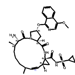 COc1cnc(O[C@@H]2C[C@H]3C(=O)N[C@]4(C(=O)NS(=O)(=O)C5CC5)C[C@@H]4/C=C\C(C)CCC[C@@H](C)[C@H](N)C(=O)N3C2)c2ccccc12